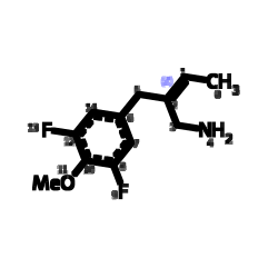 C/C=C(\CN)Cc1cc(F)c(OC)c(F)c1